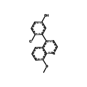 COc1cccc2c(-c3cc(O)ccc3Cl)ccnc12